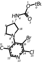 CC(C)(C)OC(=O)N[C@H]1CCN(c2c(C=O)cnc(Cl)c2Br)C1